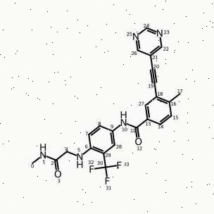 CNC(=O)CNc1ccc(NC(=O)c2ccc(C)c(C#Cc3cncnc3)c2)cc1C(F)(F)F